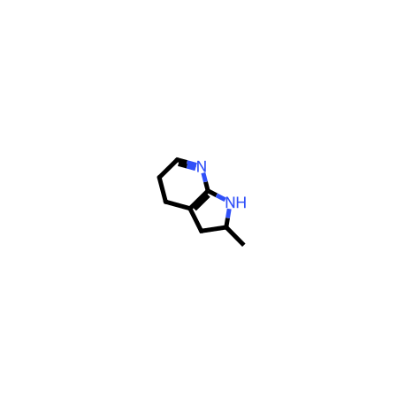 CC1CC2=C(N=CCC2)N1